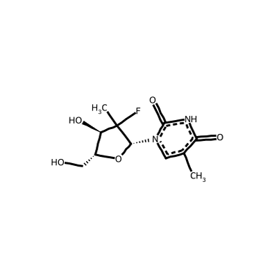 Cc1cn([C@@H]2O[C@H](CO)[C@@H](O)C2(C)F)c(=O)[nH]c1=O